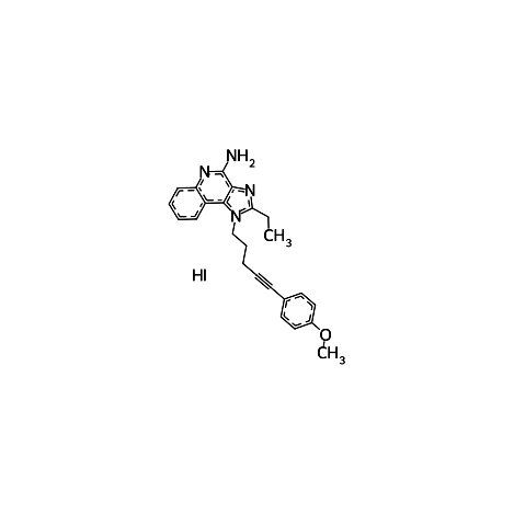 CCc1nc2c(N)nc3ccccc3c2n1CCCC#Cc1ccc(OC)cc1.I